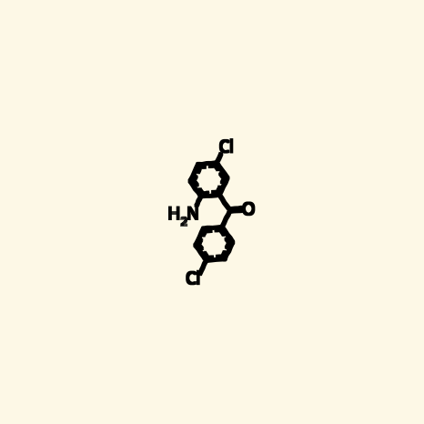 Nc1ccc(Cl)cc1C(=O)c1ccc(Cl)cc1